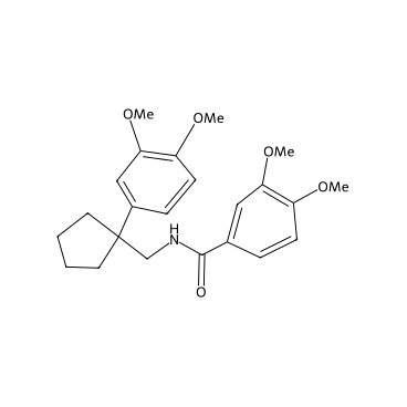 COc1ccc(C(=O)NCC2(c3ccc(OC)c(OC)c3)CCCC2)cc1OC